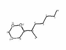 CCCCCC(C)C1COCOO1